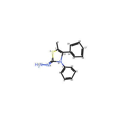 Cc1sc(=NN)n(-c2ccccc2)c1-c1ccccc1